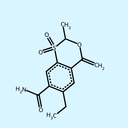 C=C1OC(C)S(=O)(=O)c2cc(C(N)=O)c(CC)cc21